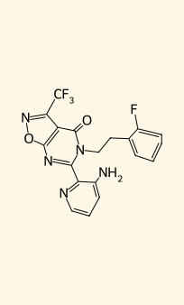 Nc1cccnc1-c1nc2onc(C(F)(F)F)c2c(=O)n1CCc1ccccc1F